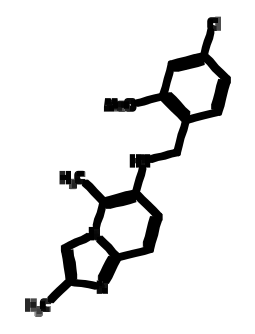 COc1cc(Cl)ccc1CNc1ccc2nc(C)cn2c1C